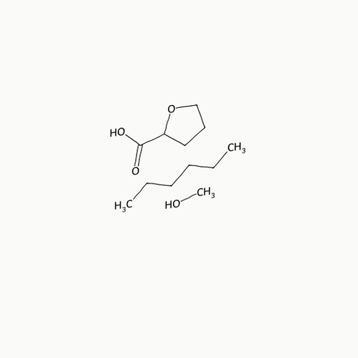 CCCCCC.CO.O=C(O)C1CCCO1